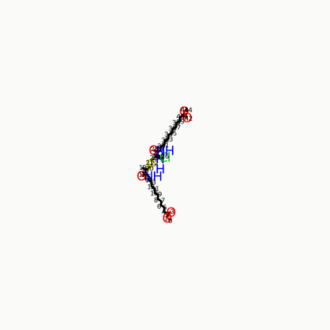 COC(=O)CCCCCCCCCCCNC(=O)C(C)CSSCC(NCl)C(=O)NCCCCCCCCCCCC(=O)OC